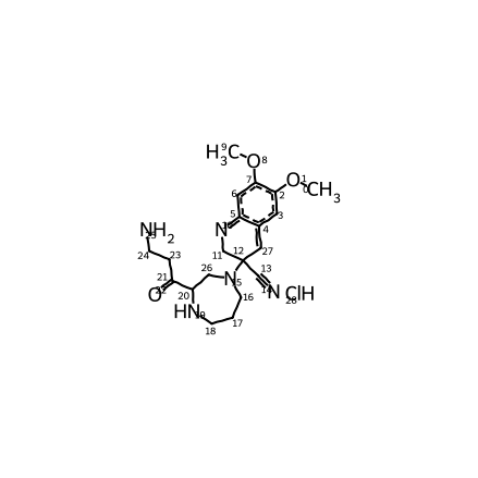 COc1cc2c(cc1OC)=NCC(C#N)(N1CCCNC(C(=O)CCN)C1)C=2.Cl